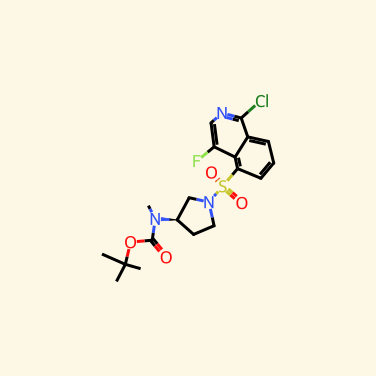 CN(C(=O)OC(C)(C)C)[C@@H]1CCN(S(=O)(=O)c2cccc3c(Cl)ncc(F)c23)C1